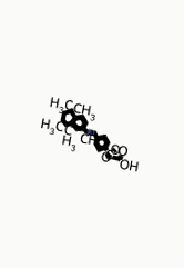 C/C(=C\c1ccc(S(=O)(=O)CC(=O)O)cc1)c1ccc2c(c1)C(C)(C)CCC2(C)C